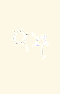 CC(C)c1n[nH]c(Oc2ccccc2F)n1